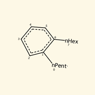 CCCC[CH]c1ccccc1CCCCCC